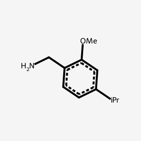 COc1cc(C(C)C)ccc1CN